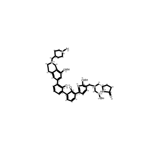 COc1cc(-c2cccc(-c3cccc(-c4ccc(CN(COC(C)(C)C)C[C@@H]5CCC(=O)N5)c(OC)n4)c3Cl)c2Cl)cc2c1CN(CC1CCN(C(C)=O)CC1)CC2